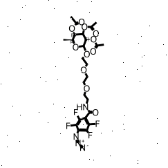 CC(=O)OC1[C@H](OC(C)=O)C(OCCOCCOCCNC(=O)c2c(F)c(F)c(N=[N+]=[N-])c(F)c2F)O[C@@H](C)[C@H]1OC(C)=O